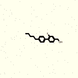 CCCCCc1ccc(-c2ccc(CO)cc2F)cc1